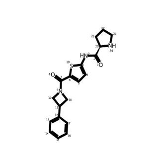 O=C(Nc1ccc(C(=O)N2CC(c3ccccc3)C2)s1)[C@H]1CCCN1